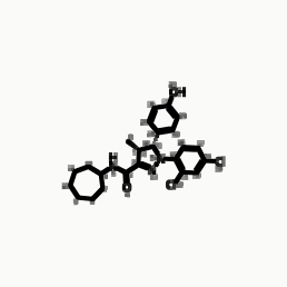 C[C@@H]1C(C(=O)NC2CCCCCC2)=NN(c2ccc(Cl)cc2Cl)[C@H]1c1ccc(O)cc1